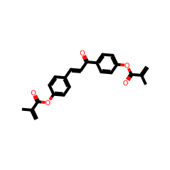 C=C(C)C(=O)Oc1ccc(C=CC(=O)c2ccc(OC(=O)C(=C)C)cc2)cc1